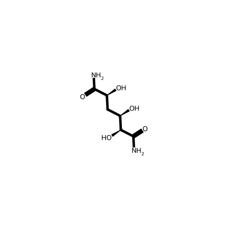 NC(=O)[C@@H](O)[C@H](O)C[C@H](O)C(N)=O